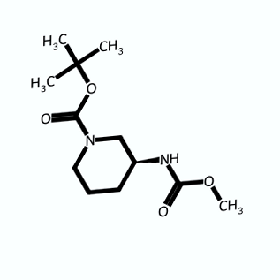 COC(=O)N[C@H]1CCCN(C(=O)OC(C)(C)C)C1